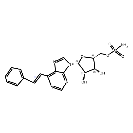 NS(=O)(=O)OC[C@H]1O[C@@H](n2cnc3c(/C=C/c4ccccc4)ncnc32)[C@H](O)[C@@H]1O